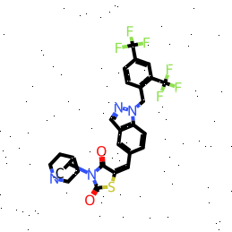 O=C1SC(=Cc2ccc3c(cnn3Cc3ccc(C(F)(F)F)cc3C(F)(F)F)c2)C(=O)N1C1CN2CCC1CC2